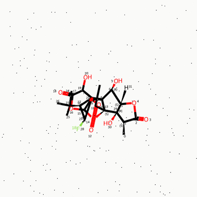 C[C@@H]1C(=O)O[C@H]2[C@H](O)C34C5OC(=O)[C@@]3(OC3OC(=O)C(O)C34[C@H](C(C)(C)C)[C@@H]5[18F])[C@@]12O